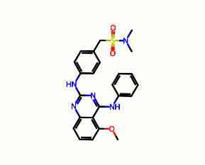 COc1cccc2nc(Nc3ccc(CS(=O)(=O)N(C)C)cc3)nc(Nc3ccccc3)c12